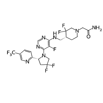 NC(=O)CN1CC[C@H](CNc2ncnc(N3CC(F)(F)C[C@@H]3c3ccc(C(F)(F)F)cn3)c2F)C(F)(F)C1